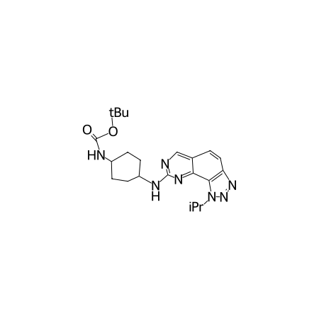 CC(C)n1nnc2ccc3cnc(NC4CCC(NC(=O)OC(C)(C)C)CC4)nc3c21